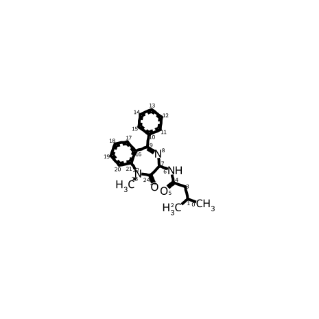 CC(C)CC(=O)NC1N=C(c2ccccc2)c2ccccc2N(C)C1=O